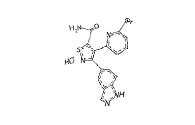 CC(C)c1cccc(-c2c(-c3ccc4[nH]ncc4c3)nsc2C(N)=O)n1.Cl